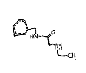 CCNCC(=O)N[CH]c1ccccc1